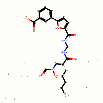 CCCCC[C@H](CN(O)C=O)C(=O)NCNC(=O)c1ccc(-c2cccc(C(=O)O)c2)o1